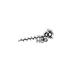 CCCCCCCCCCCCCC=C(C(=O)O)c1ccc2c(c1)C(C)(C)CCC2(C)C